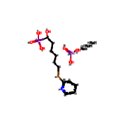 O=P(O)(O)C(O)CCCCCSc1ccccn1.O=[PH](O)O.[NaH].[NaH].[NaH]